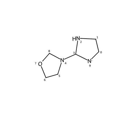 C1CNC(N2CCOC2)[N]1